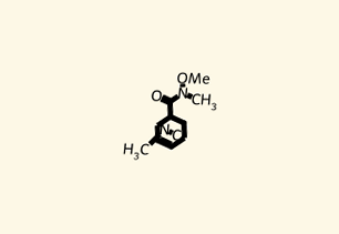 CON(C)C(=O)C1CC2C=CC1N(C)C2